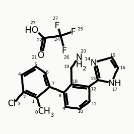 Cc1c(Cl)cccc1-c1cccc(-c2ncc[nH]2)c1CN.O=C(O)C(F)(F)F